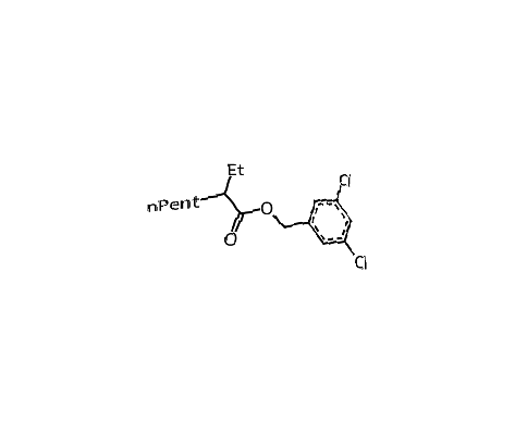 CCCCCC(CC)C(=O)OCc1cc(Cl)cc(Cl)c1